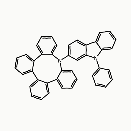 c1ccc(-n2c3ccccc3c3ccc(-n4c5ccccc5c5ccccc5c5ccccc5c5ccccc54)cc32)cc1